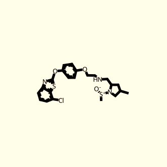 CC1CC(CNCCOc2ccc(Oc3nc4cccc(Cl)c4s3)cc2)N([S+](C)[O-])C1